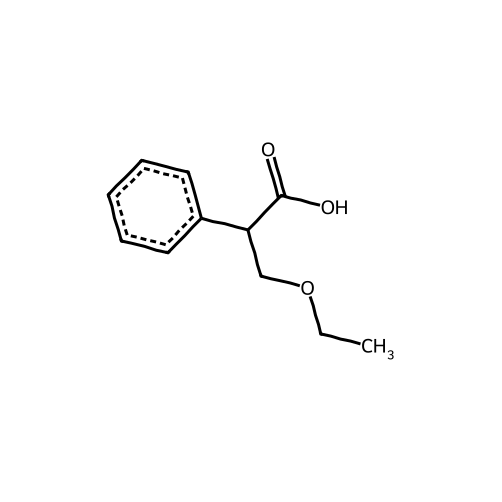 CCOCC(C(=O)O)c1ccccc1